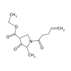 C=CCCC(=O)N1CC(C(=O)OCC)C(=O)C1C